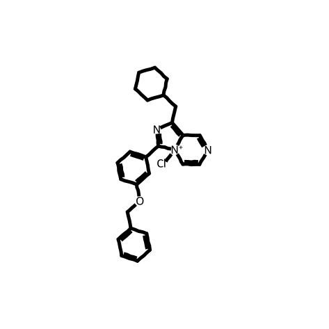 Cl[N+]12C=CN=CC1=C(CC1CCCCC1)N=C2c1cccc(OCc2ccccc2)c1